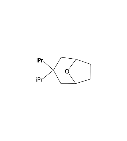 CC(C)C1(C(C)C)CC2CCC(C1)O2